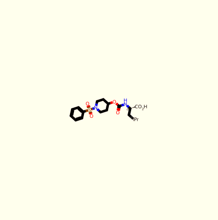 CC(C)C[C@H](NC(=O)OC1CCN(S(=O)(=O)c2ccccc2)CC1)C(=O)O